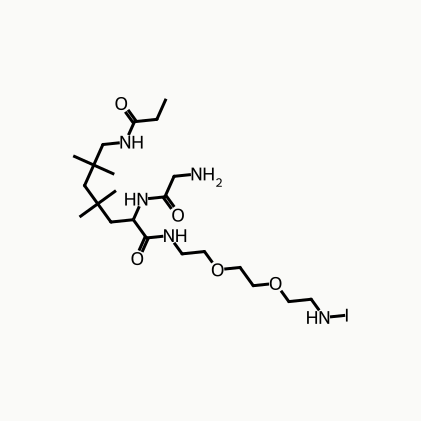 CCC(=O)NCC(C)(C)CC(C)(C)CC(NC(=O)CN)C(=O)NCCOCCOCCNI